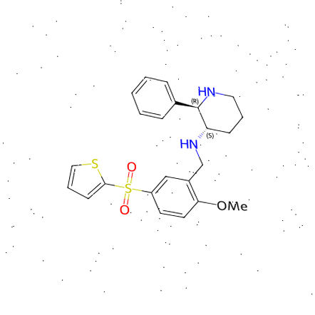 COc1ccc(S(=O)(=O)c2cccs2)cc1CN[C@H]1CCCN[C@@H]1c1ccccc1